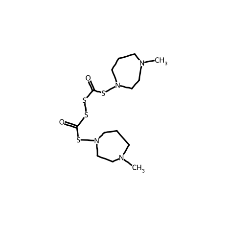 CN1CCCN(SC(=O)SSC(=O)SN2CCCN(C)CC2)CC1